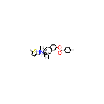 Cc1ccc(C(=O)Oc2ccc3c(c2)C[C@H]2CC[C@@H](C3)[C@H]2NCc2ccc(C)s2)cc1